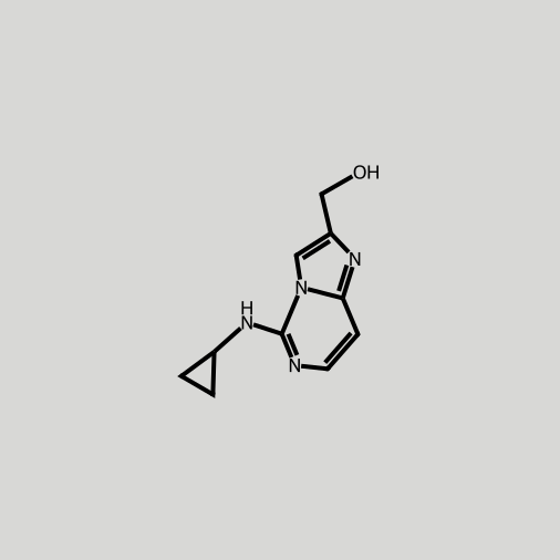 OCc1cn2c(NC3CC3)nccc2n1